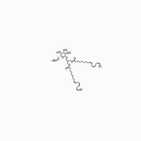 CC/C=C\C/C=C\C/C=C\CCCCCCCC(=O)OCC(COC(=O)CCCCCCC/C=C\C/C=C\C/C=C\CC)CO[C@@H]1O[C@H](COCCCC)[C@H](O)[C@H](O)[C@H]1O